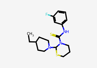 CCC1CCN(C2SCCCN2C(=S)Nc2cccc(F)c2)CC1